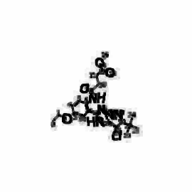 CCOc1ccc(NC(=O)CCC(=O)OC)c(-c2nn3nc(C(C)(C)C)c(Cl)c3[nH]2)c1